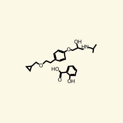 CC(C)NCC(O)COc1ccc(CCOCC2CC2)cc1.O=C(O)c1ccccc1O